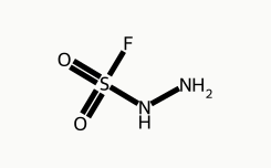 NNS(=O)(=O)F